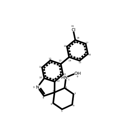 ONC1CCCCC12C=Nc1ccc(-c3cccc(Cl)c3)cc12